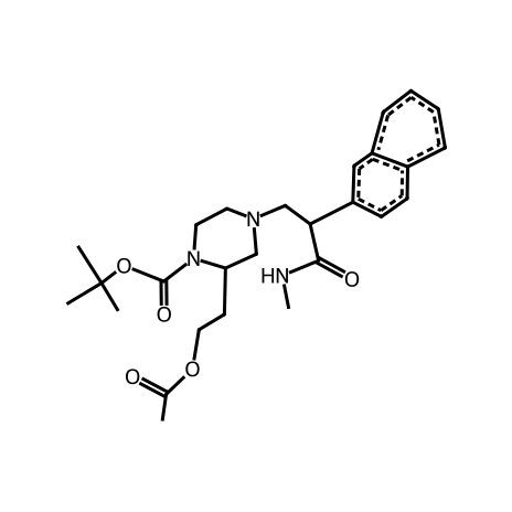 CNC(=O)C(CN1CCN(C(=O)OC(C)(C)C)C(CCOC(C)=O)C1)c1ccc2ccccc2c1